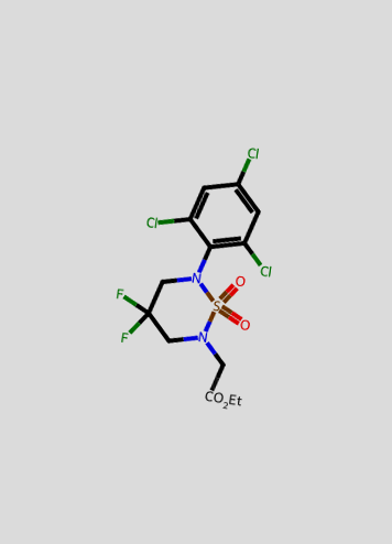 CCOC(=O)CN1CC(F)(F)CN(c2c(Cl)cc(Cl)cc2Cl)S1(=O)=O